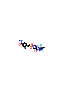 Cc1cc(C(=O)N(C)C)ccc1CCS(=O)(=O)N1CCC2(CC1)N=C(C1(F)C(C)C1(F)F)NC2=O